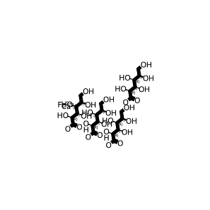 O=C([O-])[C@H](O)[C@@H](O)[C@H](O)[C@H](O)CO.O=C([O-])[C@H](O)[C@@H](O)[C@H](O)[C@H](O)CO.O=C([O-])[C@H](O)[C@@H](O)[C@H](O)[C@H](O)CO.O=C([O-])[C@H](O)[C@@H](O)[C@H](O)[C@H](O)CO.[Ca+2].[Fe+2]